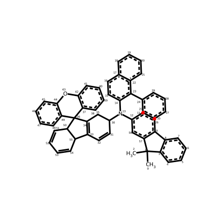 CC1(C)c2ccccc2-c2ccc(N(c3ccc4ccccc4c3-c3ccccc3)C3C=CC4=C(C3)C3(c5ccccc5Oc5ccccc53)C3C=CC=CC43)cc21